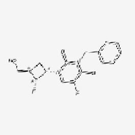 O=c1c(F)cn([C@H]2C[C@H](CO)[C@H]2F)c(=O)n1Cc1ccccc1